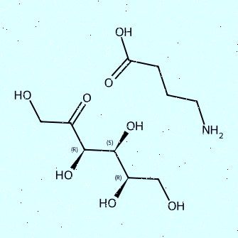 NCCCC(=O)O.O=C(CO)[C@H](O)[C@@H](O)[C@H](O)CO